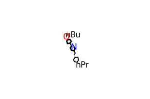 CCCCOc1ccc(-c2ccc(CC[C@H]3CC[C@H](CCC)CC3)cn2)cc1